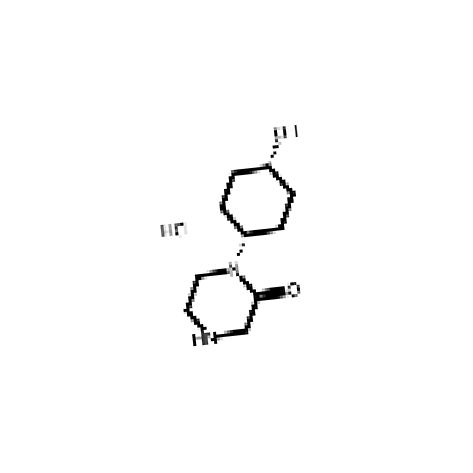 Cl.O=C1CNCCN1[C@H]1CC[C@@H](O)CC1